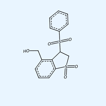 O=S1(=O)CC(S(=O)(=O)c2ccccc2)c2c(CO)cccc21